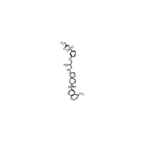 CN1CCOc2ncc(S(=O)(=O)N3CCC4(CC3)C[C@@H](NCC(O)COc3cccc(S(=O)(=O)CC(N)=O)c3)CO4)cc21